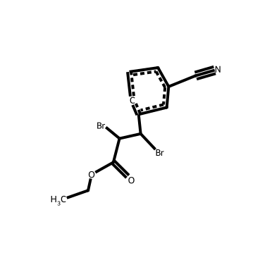 CCOC(=O)C(Br)C(Br)c1cccc(C#N)c1